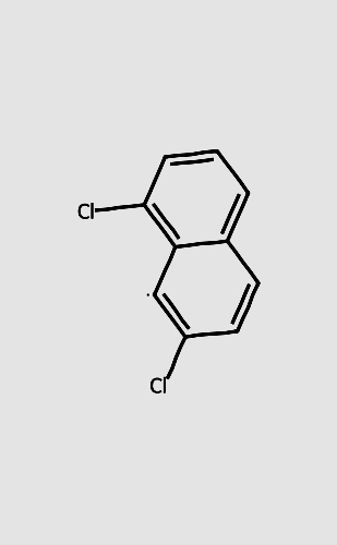 Clc1[c]c2c(Cl)cccc2cc1